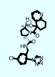 C[C@@H]1CC[C@@H](C(=O)NCc2cc(Cl)ccc2-n2cnnn2)N1C(=O)C1(O)CCCc2ncccc21